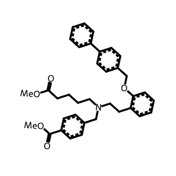 COC(=O)CCCCN(CCc1ccccc1OCc1ccc(-c2ccccc2)cc1)Cc1ccc(C(=O)OC)cc1